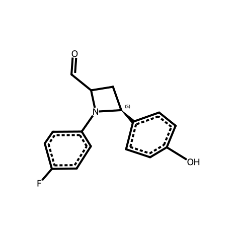 O=CC1C[C@@H](c2ccc(O)cc2)N1c1ccc(F)cc1